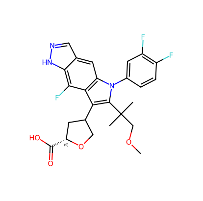 COCC(C)(C)c1c(C2CO[C@H](C(=O)O)C2)c2c(F)c3[nH]ncc3cc2n1-c1ccc(F)c(F)c1